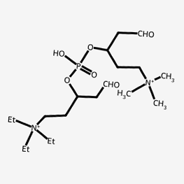 CC[N+](CC)(CC)CCC(CC=O)OP(=O)(O)OC(CC=O)CC[N+](C)(C)C